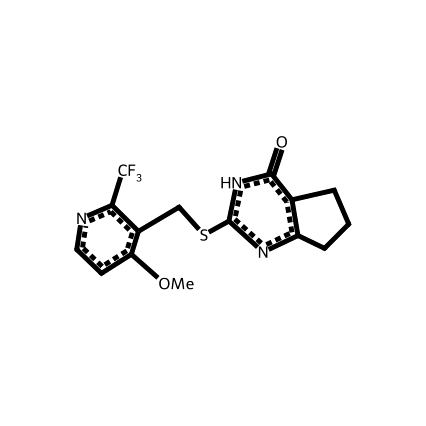 COc1ccnc(C(F)(F)F)c1CSc1nc2c(c(=O)[nH]1)CCC2